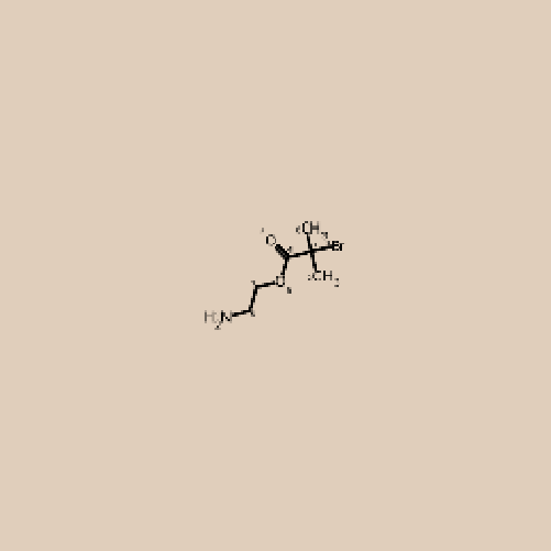 CC(C)(Br)C(=O)OCCN